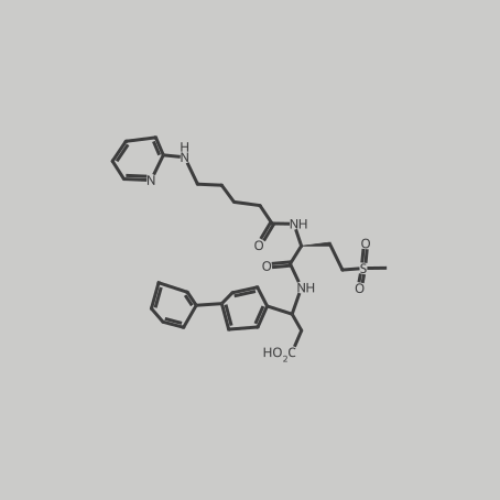 CS(=O)(=O)CC[C@H](NC(=O)CCCCNc1ccccn1)C(=O)NC(CC(=O)O)c1ccc(-c2ccccc2)cc1